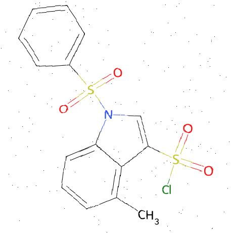 Cc1cccc2c1c(S(=O)(=O)Cl)cn2S(=O)(=O)c1ccccc1